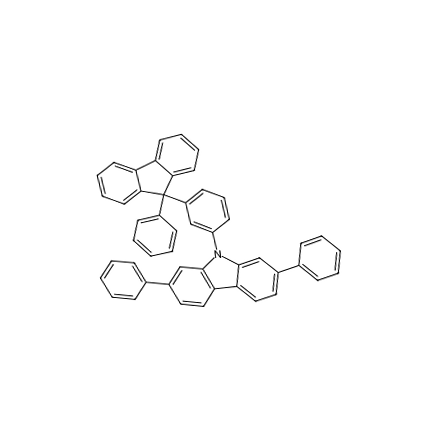 c1ccc(-c2ccc3c4ccc(-c5ccccc5)cc4n(-c4cccc(C5(c6ccccc6)c6ccccc6-c6ccccc65)c4)c3c2)cc1